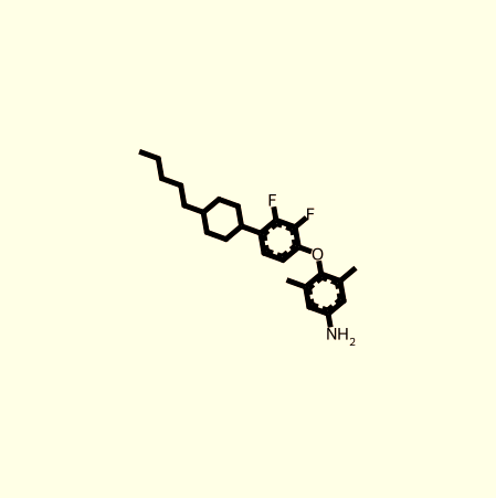 CCCCCC1CCC(c2ccc(Oc3c(C)cc(N)cc3C)c(F)c2F)CC1